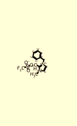 Cc1n(C)cc[n+]1Cc1ccccc1.O=S(=O)([O-])C(F)(F)F